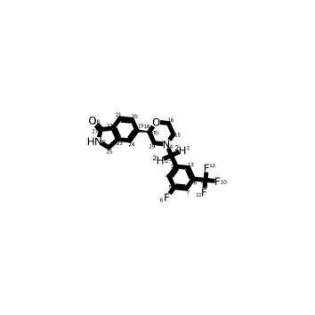 [2H]C([2H])(c1cc(F)cc(C(F)(F)F)c1)N1CCO[C@H](c2ccc3c(c2)CNC3=O)C1